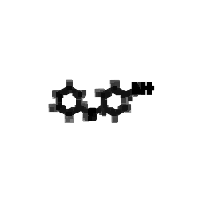 [NH]c1ccc(Sc2ccccc2)cc1